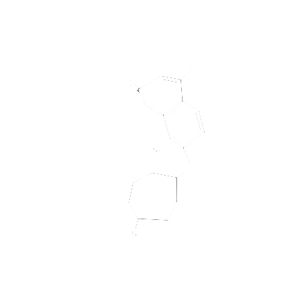 CC1=CC(=O)Cc2cc(OC3CCC(N)[C@H](O)C[C@@H]3N=O)ccc21